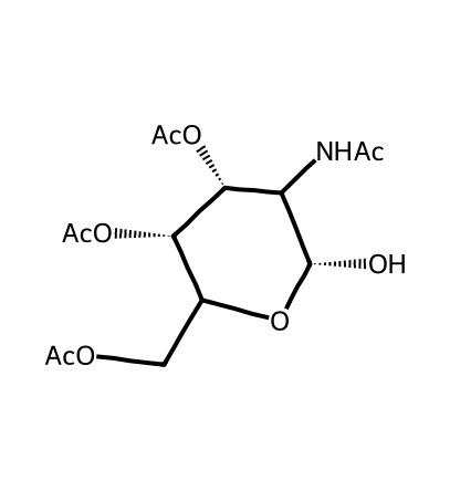 CC(=O)NC1[C@H](O)OC(COC(C)=O)[C@H](OC(C)=O)[C@@H]1OC(C)=O